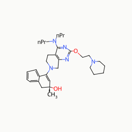 CCCN(CCC)c1nc(OCCN2CCCCC2)nc2c1CCN(C1=C[C@](C)(O)Cc3ccccc31)C2